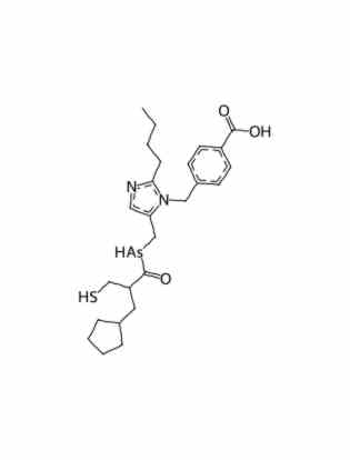 CCCCc1ncc(C[AsH]C(=O)C(CS)CC2CCCC2)n1Cc1ccc(C(=O)O)cc1